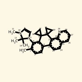 Cc1ccc2c(c1N1C=CN(C)C1(C)C)C1(CC1)C1(CC1)c1c-2ccc2cccnc12